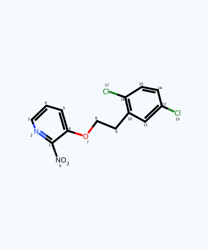 O=[N+]([O-])c1ncccc1OCCc1cc(Cl)ccc1Cl